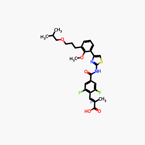 COc1c(CCCOCC(C)C)cccc1-c1csc(NC(=O)c2cc(F)c(/C=C(\C)C(=O)O)c(F)c2)n1